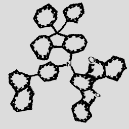 c1ccc(C2(c3ccccc3)c3ccccc3-c3c(N(c4ccc(-c5cccc6ccccc56)cc4)c4cc5c6ccccc6oc5c5c4oc4ccccc45)cccc32)cc1